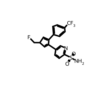 NS(=O)(=O)c1ccc(C2=CC(CF)C=C2c2ccc(C(F)(F)F)cc2)cn1